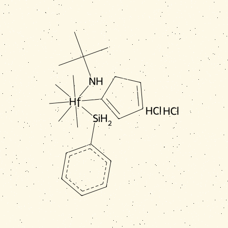 CC(C)(C)[NH][Hf]([CH3])([CH3])([CH3])([CH3])([CH3])([SiH2]c1ccccc1)[C]1=CC=CC1.Cl.Cl